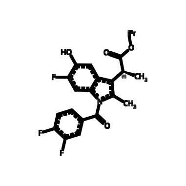 Cc1c([C@H](C)C(=O)OC(C)C)c2cc(O)c(F)cc2n1C(=O)c1ccc(F)c(F)c1